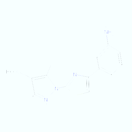 Cc1c(C(=O)O)cnn1-c1nc(-c2cccc(N)c2)cs1